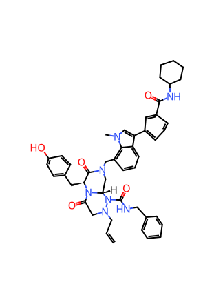 C=CCN1CC(=O)N2[C@@H](Cc3ccc(O)cc3)C(=O)N(Cc3cccc4c(-c5cccc(C(=O)NC6CCCCC6)c5)cn(C)c34)C[C@@H]2N1C(=O)NCc1ccccc1